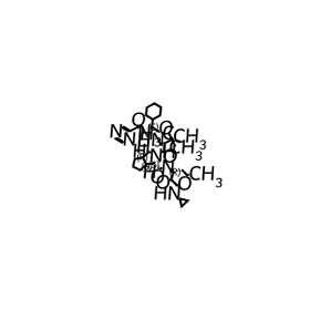 CCC[C@@H](NC(=O)[C@@H]1[C@H]2CCC[C@H]2CN1C(=O)C(NC(=O)[C@@H](NC(=O)c1cnccn1)C1CCCCC1)C(C)(C)C)C(=O)C(=O)NC1CC1